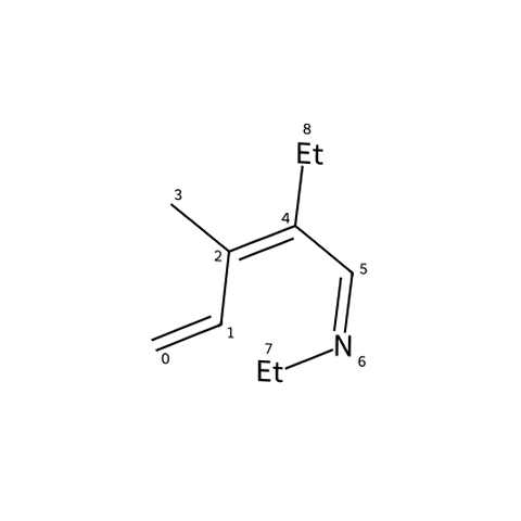 C=C/C(C)=C(\C=N/CC)CC